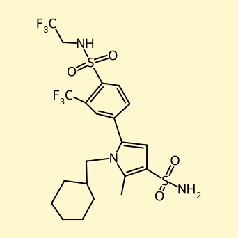 Cc1c(S(N)(=O)=O)cc(-c2ccc(S(=O)(=O)NCC(F)(F)F)c(C(F)(F)F)c2)n1CC1CCCCC1